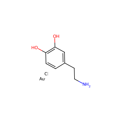 NCCc1ccc(O)c(O)c1.[Au].[C]